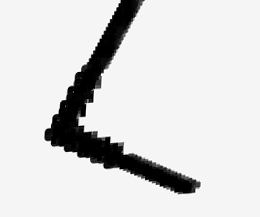 O=S(=O)(O)O.O=S(=O)(O)O.O=S(=O)(O)O.O=S(=O)(O)O.O=S(=O)(O)O.O=S(=O)(O)O.O=S(=O)(O)O.O=S(=O)(O)O.O=S(=O)(O)O.[Na+].[Na+].[Na+].[Na+].[Na+].[Na+].[Na+].[Na+].[Na+].[Na+].[Na+].[Na+].[Na+].[Na+].[Na+].[Na+].[Na+].[Na+].[Na+].[Na+].[Na+].[Na+].[Na+].[Na+].[Na+].[Na+].[Na+].[Na+].[Na+].[Na+].[Na+].[Na+].[Na+].[Na+].[Na+].[Na+].[Na+]